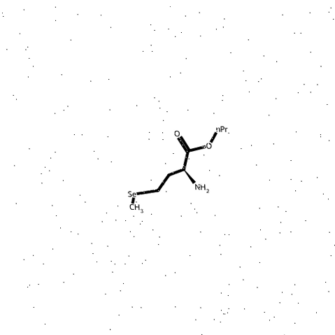 CCCOC(=O)[C@@H](N)CC[Se]C